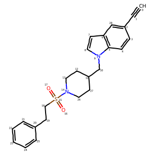 C#Cc1ccc2c(ccn2CC2CCN(S(=O)(=O)CCc3ccccc3)CC2)c1